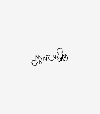 Cc1cccc(-n2nccn2)c1C(=O)N1CC2CC(C1)CN(c1cnc3ccccc3n1)C2